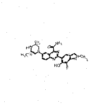 C[C@H]1CN(c2ccc3nc(-c4cc5cn(C)nc5c(F)c4O)nc(C(N)=O)c3c2)C[C@H](C)N1